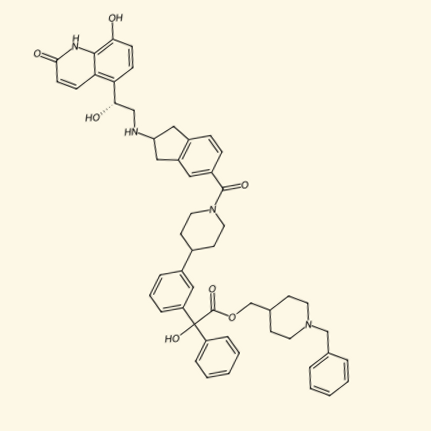 O=C(c1ccc2c(c1)CC(NC[C@H](O)c1ccc(O)c3[nH]c(=O)ccc13)C2)N1CCC(c2cccc(C(O)(C(=O)OCC3CCN(Cc4ccccc4)CC3)c3ccccc3)c2)CC1